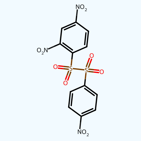 O=[N+]([O-])c1ccc(S(=O)(=O)S(=O)(=O)c2ccc([N+](=O)[O-])cc2[N+](=O)[O-])cc1